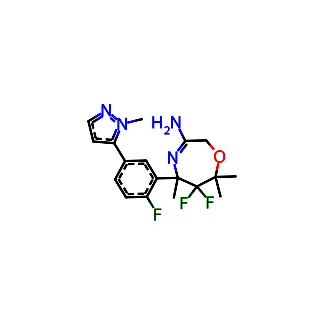 Cn1nccc1-c1ccc(F)c(C2(C)N=C(N)COC(C)(C)C2(F)F)c1